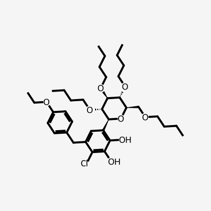 CCCCOC[C@H]1O[C@@H](c2cc(Cc3ccc(OCC)cc3)c(Cl)c(O)c2O)[C@H](OCCCC)[C@@H](OCCCC)[C@@H]1OCCCC